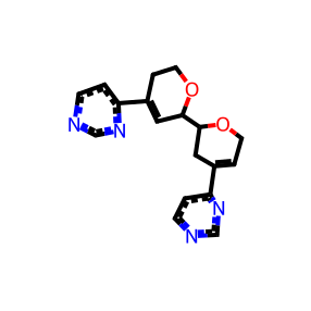 C1=C(c2ccncn2)CCOC1C1CC(c2ccncn2)=CCO1